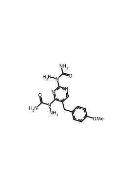 COc1ccc(Cc2cnc(N(N)C(N)=O)nc2N(N)C(N)=O)cc1